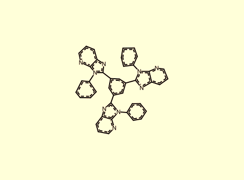 c1ccc(-n2c(-c3cc(-c4nc5cccnc5n4-c4ccccc4)cc(-c4nc5cccnc5n4-c4ccccc4)c3)nc3cccnc32)cc1